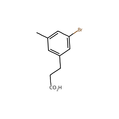 Cc1cc(Br)cc(CCC(=O)O)c1